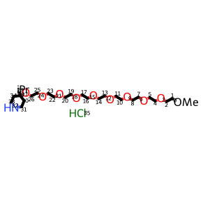 COCCOCCOCCOCCOCCOCCOCCOCCOCCOC1(C(C)C)CCNCC1.Cl